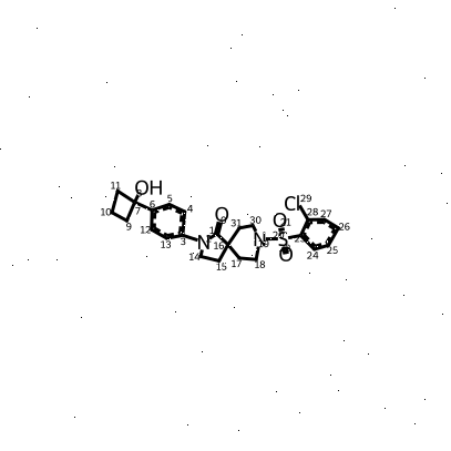 O=C1N(c2ccc(C3(O)CCC3)cc2)CCC12CCN(S(=O)(=O)c1ccccc1Cl)CC2